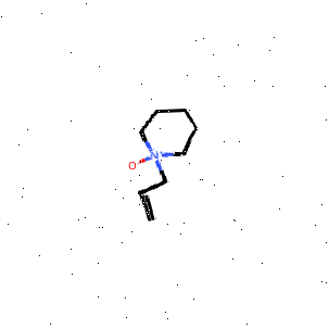 C=CC[N+]1([O-])CCCCC1